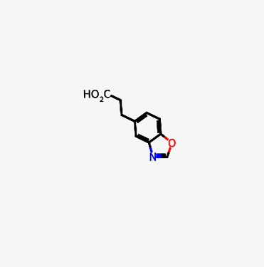 O=C(O)CCc1ccc2ocnc2c1